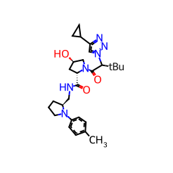 Cc1ccc(N2CCC[C@H]2CNC(=O)[C@@H]2C[C@@H](O)CN2C(=O)C(n2cc(C3CC3)nn2)C(C)(C)C)cc1